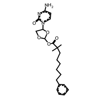 CC(C)(CCCCCCc1ccccc1)C(=O)OC1OCC(n2ccc(N)nc2=O)O1